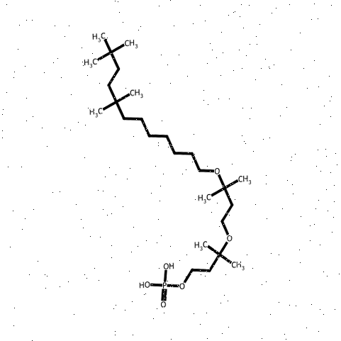 CC(C)(C)CCC(C)(C)CCCCCCCOC(C)(C)CCOC(C)(C)CCOP(=O)(O)O